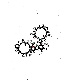 CC[C@H](C)[C@H]1NC(=O)[C@@H](NC(=O)c2c3nc4c(C(=O)N[C@@H]5C(=O)N[C@H]([C@@H](C)CC)C(=O)N6CCC[C@H]6C(=O)N(C)CC(=O)N(C)[C@@H](C(C)C)C(=O)O[C@@H]5C)ccc(C)c4oc-3c(C)c(=O)c2N)[C@@H](C)OC(=O)[C@H](C(C)C)N(C)C(=O)CN(C)C(=O)[C@@H]2CCCN2C1=O